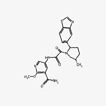 COc1ncc(NC(=O)C(=O)N2CC(C)CCC2c2ccc3scnc3c2)cc1C(N)=O